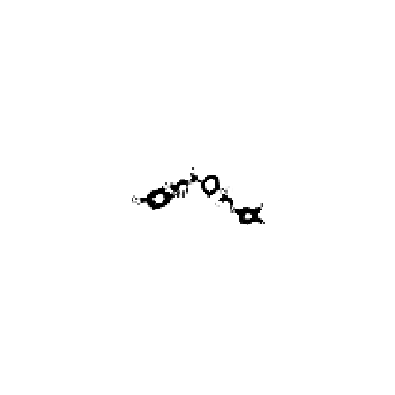 O=C(COc1ccc(F)c(F)c1)N[C@H]1CC[C@H](C(=O)NCc2nc3cc(Cl)ccc3[nH]2)CC1